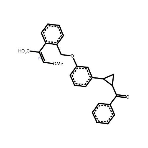 CO/C=C(/C(=O)O)c1ccccc1COc1cccc(C2CC2C(=O)c2ccccc2)c1